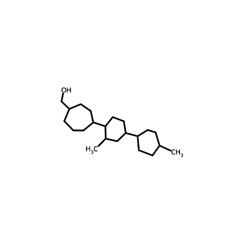 CC1CCC(C2CCC(C3CCCC(CO)CC3)C(C)C2)CC1